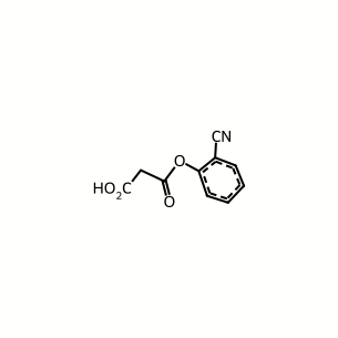 N#Cc1ccccc1OC(=O)CC(=O)O